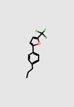 CCCc1ccc(-c2ccc(C(F)(F)F)o2)cc1